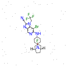 N#Cc1nc2cnc(NC3CCC(N4[C@@H]5CC[C@H]4CC(F)C5)CC3)c(Br)c2n1CC(F)(F)F